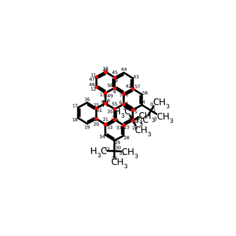 CC(C)(C)c1ccc(-c2ccccc2N(c2ccccc2-c2cc(C(C)(C)C)cc(C(C)(C)C)c2)c2ccccc2-c2cccc3cccc(C4CCCCC4)c23)cc1